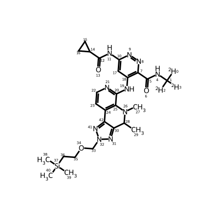 [2H]C([2H])([2H])NC(=O)c1nnc(NC(=O)C2CC2)cc1Nc1nccc2c1N(C)C(C)c1nn(COCC[Si](C)(C)C)nc1-2